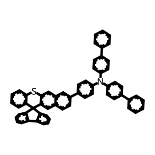 c1ccc(-c2ccc(N(c3ccc(-c4ccccc4)cc3)c3ccc(-c4ccc5cc6c(cc5c4)Sc4ccccc4C64c5ccccc5-c5ccccc54)cc3)cc2)cc1